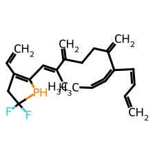 C=C/C=C\C(=C=CC)C(=C)CCC(=C)/C(C)=C/C1=C(C=C)CC(F)(F)P1